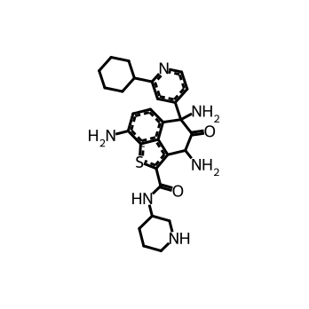 Nc1ccc2c3c(c(C(=O)NC4CCCNC4)sc13)C(N)C(=O)C2(N)c1ccnc(C2CCCCC2)c1